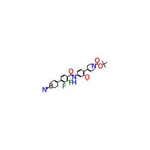 COc1cc(NC(=O)c2ccc(C3=CCB(C#N)CC3)c(F)c2F)ccc1C1=CCN(C(=O)OC(C)(C)C)CC1